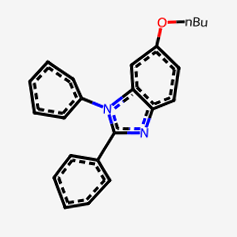 CCCCOc1ccc2nc(-c3ccccc3)n(-c3ccccc3)c2c1